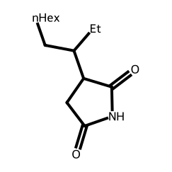 CCCCCCCC(CC)C1CC(=O)NC1=O